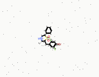 C[C@@H]1NC[C@@H](c2ccccc2)S(=O)(=O)C1Cc1cc(F)c(Br)cc1F